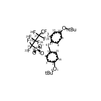 CC(C)(C)Oc1ccc([I+]c2ccc(OC(C)(C)C)cc2)cc1.O=S(=O)([O-])C(F)(F)C(F)(F)C(F)(F)C(F)(F)F